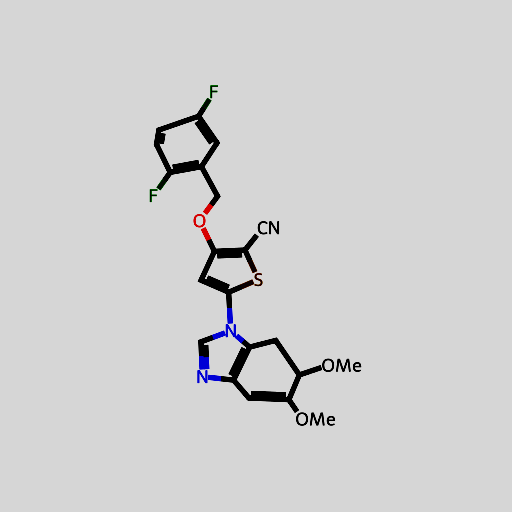 COC1=Cc2ncn(-c3cc(OCc4cc(F)ccc4F)c(C#N)s3)c2CC1OC